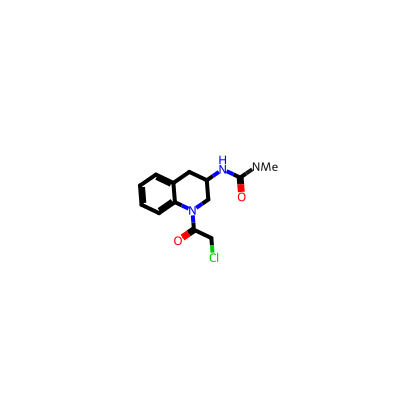 CNC(=O)NC1Cc2ccccc2N(C(=O)CCl)C1